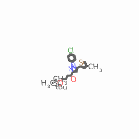 Cc1csc(-c2cc(C(=O)CCCO[Si](C)(C)C(C)(C)C)nn2-c2ccc(Cl)cc2)c1